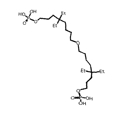 CCC(CC)(CCCCOCCCCC(CC)(CC)CCCOP(=O)(O)O)CCCOP(=O)(O)O